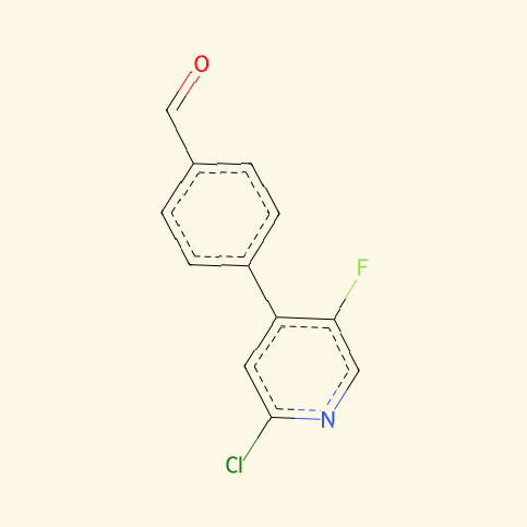 O=Cc1ccc(-c2cc(Cl)ncc2F)cc1